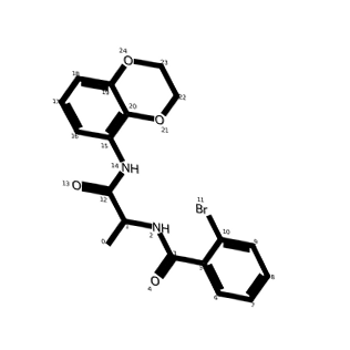 CC(NC(=O)c1ccccc1Br)C(=O)Nc1cccc2c1OCCO2